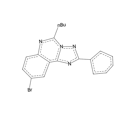 CCCCc1nc2ccc(Br)cc2c2nc(-c3ccccc3)nn12